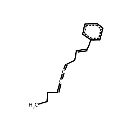 CCCC=C=C=CCC=Cc1ccccc1